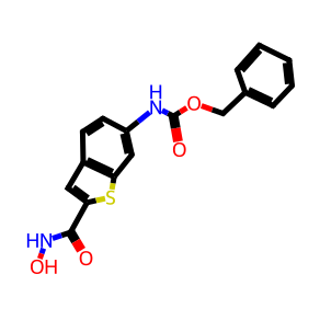 O=C(Nc1ccc2cc(C(=O)NO)sc2c1)OCc1ccccc1